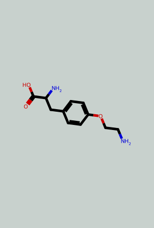 NCCOc1ccc(CC(N)C(=O)O)cc1